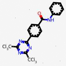 O=C(Nc1ccccc1)c1ccc(-c2nc(C(Cl)(Cl)Cl)nc(C(Cl)(Cl)Cl)n2)cc1